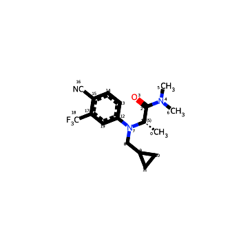 C[C@@H](C(=O)N(C)C)N(CC1CC1)c1ccc(C#N)c(C(F)(F)F)c1